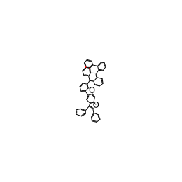 c1ccc(-c2ccccc2-c2c3ccccc3c(-c3cccc4c3oc3cc5oc(-c6ccccc6)c(-c6ccccc6)c5cc34)c3ccccc23)cc1